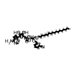 CCCCCCCCCCCCCCCCCCOC[C@H](COP(=O)(O)OC[C@H]1O[C@@H](c2ccc3c(N)ncnn23)[C@H](O)[C@@H]1O)OCc1cccc(C#N)n1